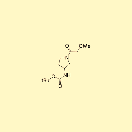 COCC(=O)N1CCC(NC(=O)OC(C)(C)C)C1